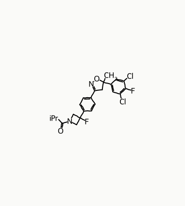 CC(C)C(=O)N1CC(F)(c2ccc(C3=NOC(C)(c4cc(Cl)c(F)c(Cl)c4)C3)cc2)C1